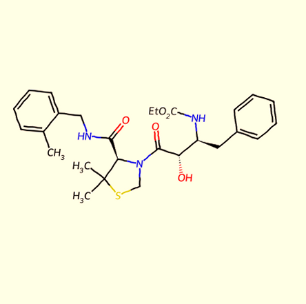 CCOC(=O)N[C@@H](Cc1ccccc1)[C@H](O)C(=O)N1CSC(C)(C)[C@H]1C(=O)NCc1ccccc1C